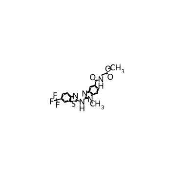 COC(=O)CNC(=O)c1ccc2c(c1)nc(Nc1nc3ccc(C(F)(F)F)cc3s1)n2C